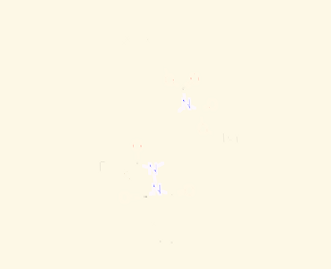 CCSC(=O)N(CCCCN(C(=O)OCc1ccccc1)C(=O)OC(C)(C)C)N1C(=O)c2ccccc2C1=O